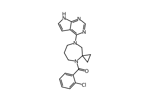 O=C(c1ccccc1Cl)N1CCCN(c2ncnc3[nH]ccc23)CC12CC2